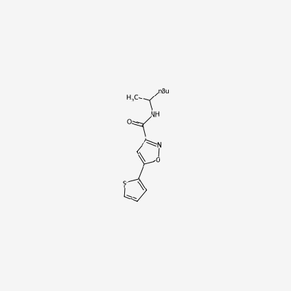 CCCCC(C)NC(=O)c1cc(-c2cccs2)on1